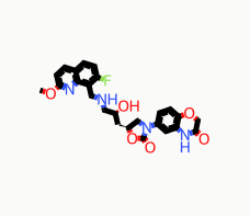 COc1ccc2ccc(F)c(CNC[C@@H](O)C[C@@H]3CN(c4ccc5c(c4)NC(=O)CO5)C(=O)O3)c2n1